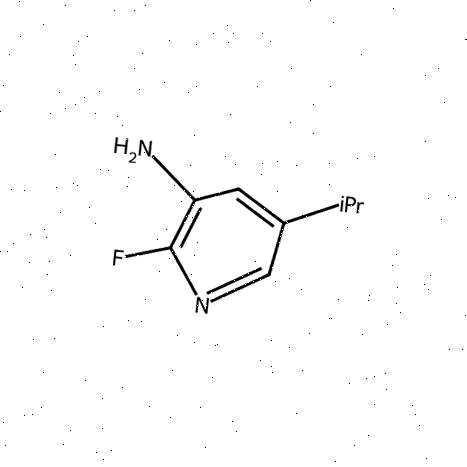 CC(C)c1cnc(F)c(N)c1